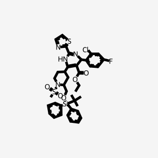 CCOC(=O)C1=C(C2CCN(S(C)(=O)=O)C(CO[Si](c3ccccc3)(c3ccccc3)C(C)(C)C)C2)NC(c2nccs2)=NC1c1ccc(F)cc1Cl